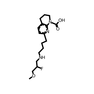 COCC(F)CNCCCCc1ccc2c(n1)N(C(=O)O)CCC2